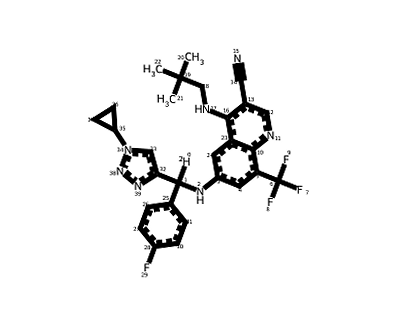 [2H]C(Nc1cc(C(F)(F)F)c2ncc(C#N)c(NCC(C)(C)C)c2c1)(c1ccc(F)cc1)c1cn(C2CC2)nn1